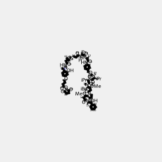 CC[C@H](C)[C@@H]([C@@H](CC(=O)N1CCC[C@H]1[C@H](OC)[C@@H](C)C(=O)N[C@H](C)[C@@H](O)c1ccccc1)OC)N(C)C(=O)[C@@H](NC(=O)[C@H](C(C)C)N(C)C(=O)OCc1ccc(NC(=O)[C@H](C)NC(=O)[C@@H](NC(=O)CCSSC(C)(C)CC(=O)N/N=C(\C)c2ccc(OCCCC(=O)ON3C(=O)CCC3=O)cc2O)C(C)C)cc1)C(C)C